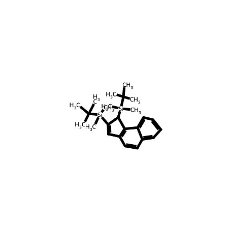 CC(C)(C)[Si](C)(C)C1=Cc2ccc3ccccc3c2C1[Si](C)(C)C(C)(C)C